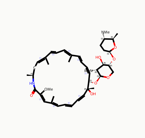 CN[C@H]1[C@H](O[C@H]2\C=C/C=C/C(C)=C/C=C/C(C)=C/C[C@H](C)NC(=O)/C(OC)=C/C(C)=C/C=C/C=C/[C@@]2(C)O)OC[C@@H](O[C@H]2CC[C@H](NC)[C@@H](C)O2)[C@@H]1O